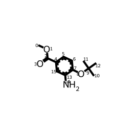 COC(=O)c1ccc(OC(C)(C)C)c(N)c1